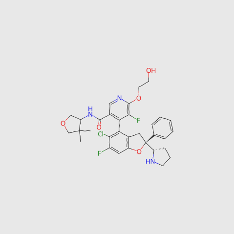 CC1(C)COCC1NC(=O)c1cnc(OCCO)c(F)c1-c1c(Cl)c(F)cc2c1C[C@](c1ccccc1)([C@@H]1CCCN1)O2